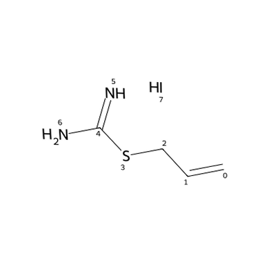 C=CCSC(=N)N.I